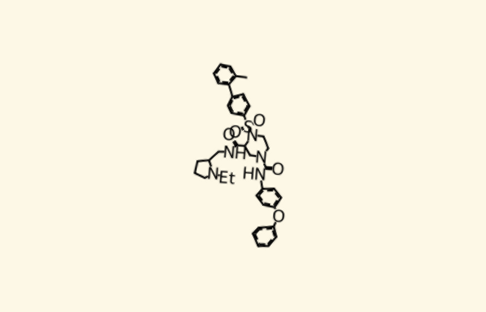 CCN1CCCC1CNC(=O)C1CN(C(=O)Nc2ccc(Oc3ccccc3)cc2)CCN1S(=O)(=O)c1ccc(-c2ccccc2C)cc1